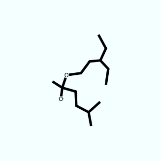 CCC(CC)CCOC(C)([O])CCC(C)C